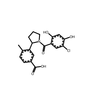 Cc1ccc(C(=O)O)cc1C1CCCN1C(=O)c1cc(Cl)c(O)cc1O